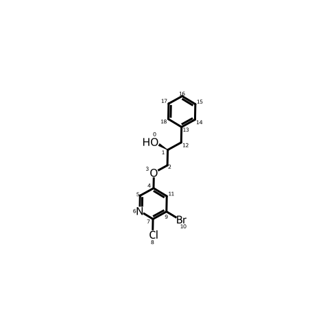 O[C@H](COc1cnc(Cl)c(Br)c1)Cc1ccccc1